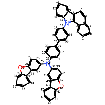 c1ccc2c(c1)ccc1c3ccccc3n(-c3ccc(-c4ccc(N(c5ccc6oc7ccccc7c6c5)c5ccc6oc7ccccc7c6c5)cc4)cc3)c21